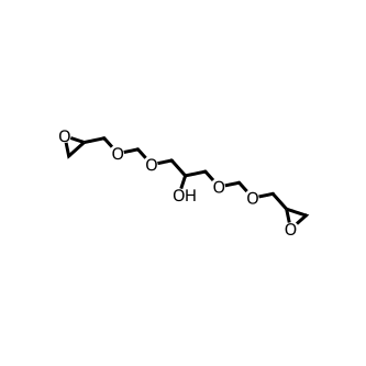 OC(COCOCC1CO1)COCOCC1CO1